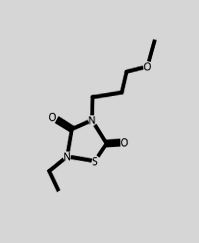 CCn1sc(=O)n(CCCOC)c1=O